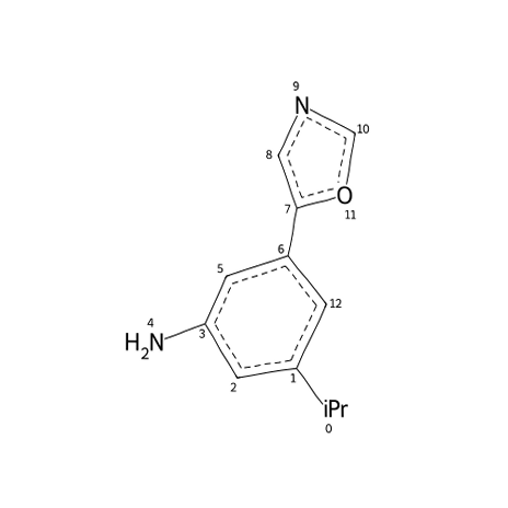 CC(C)c1cc(N)cc(-c2cnco2)c1